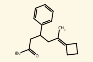 CCC(C)C(=O)CC(CC(C)=C1CCC1)c1ccccc1